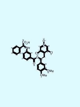 COc1ccc([C@H](Cc2c(Cl)c[n+]([O-])cc2Cl)OC(=O)c2cccc(NC(C(=O)O)c3ccccc3)c2)cc1OC